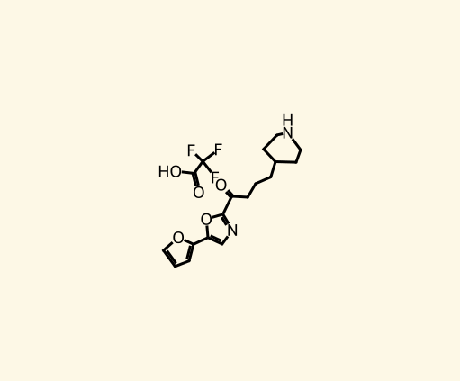 O=C(CCCC1CCNCC1)c1ncc(-c2ccco2)o1.O=C(O)C(F)(F)F